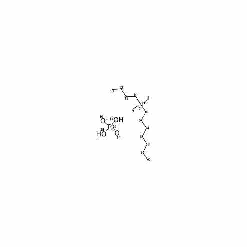 CCCCCCC[N+](C)(C)CCCC.O=P([O-])(O)O